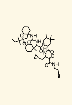 C#CCCNC(=O)C(=O)C(CC1CC1)NC(=O)[C@@H]1CC(C)(C)C(C)CN1C(=O)[C@@H](NC(=O)NC1(CS(=O)(=O)C(C)(C)CC)CCCCC1)C1(C)CCCCC1